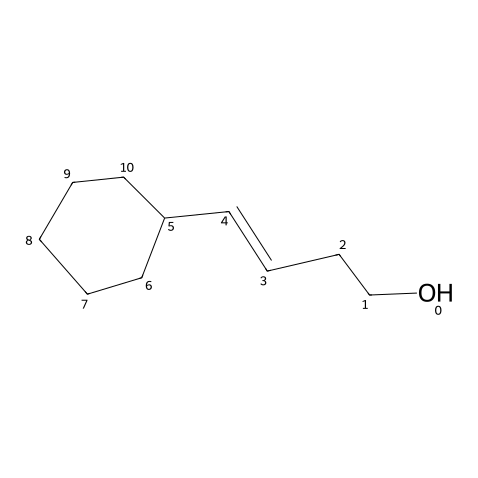 OCCC=CC1CCCCC1